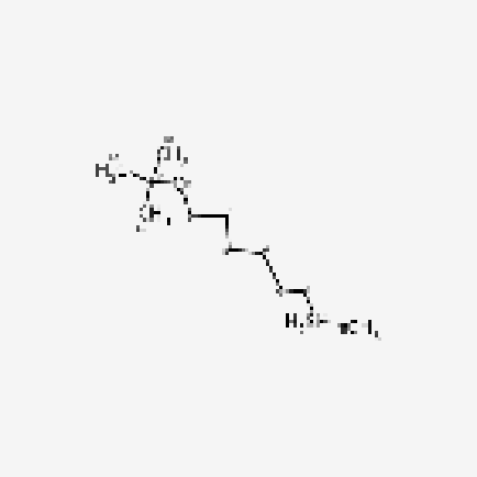 C[SiH2]CCCCCCOC(C)(C)C